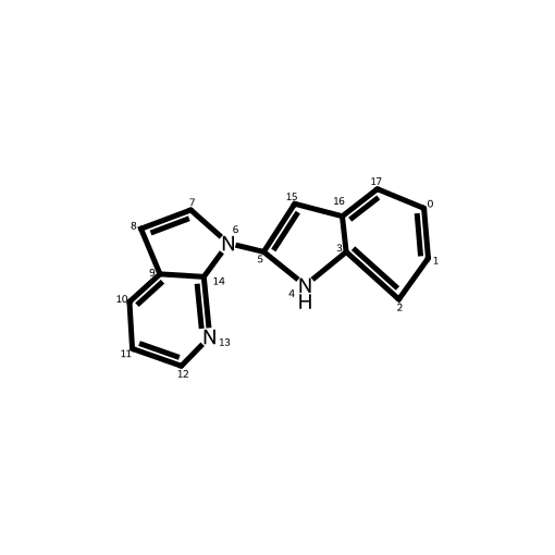 c1ccc2[nH]c(-n3ccc4cccnc43)cc2c1